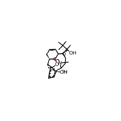 COC12C=CC[C@@]34CCN(C)[C@@H](CCC1C(C)(O)C(C)(C)C)Cc1ccc(O)c(c13)OC24